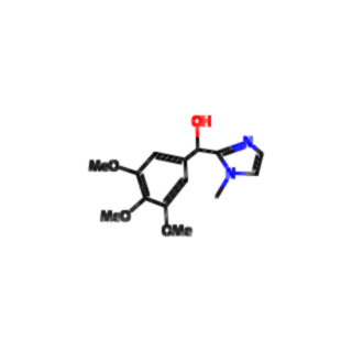 COc1cc(C(O)c2nccn2C)cc(OC)c1OC